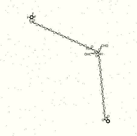 O=CCCOCC(COCCC=O)(COCCC(=O)NCCOCCOCCOCCOCCOCCOCCOCCOCCOCCOCCOCCOCCC(=O)Oc1c(F)c(F)cc(F)c1F)NC(=O)CCOCCOCCOCCOCCOCCOCCOCCOCCOCCOCCOCCOCCN1C(=O)c2ccccc2C1=O